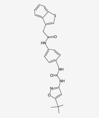 CC(C)(C)c1cc(NC(=O)Nc2ccc(NC(=O)Cc3csc4ccccc34)cc2)no1